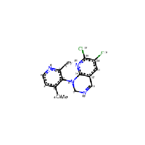 COc1ccnc(C(C)C)c1N1CN=Cc2cc(F)c(Cl)nc21